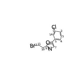 Clc1cccc(-c2cnc(CCBr)o2)c1